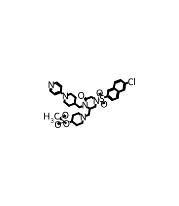 CS(=O)(=O)OC1CCN(CC2CN(S(=O)(=O)c3ccc4cc(Cl)ccc4c3)CC(=O)N2CC2CCN(c3ccncc3)CC2)CC1